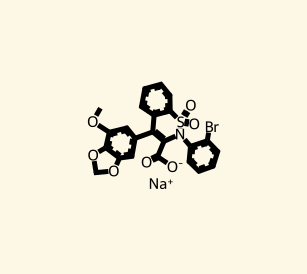 COc1cc(C2=C(C(=O)[O-])N(c3ccccc3Br)S(=O)(=O)c3ccccc32)cc2c1OCO2.[Na+]